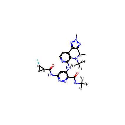 [2H]C([2H])([2H])NC(=O)c1nnc(NC(=O)[C@H]2C[C@H]2F)cc1Nc1nccc2c1N(C([2H])([2H])[2H])[C@H](C)c1nn(C)nc1-2